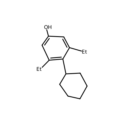 CCc1cc(O)cc(CC)c1C1CCCCC1